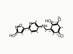 Oc1cc(-c2ccc(NCc3cc(Cl)cc(Cl)c3O)cn2)on1